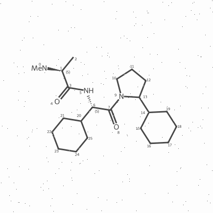 CN[C@@H](C)C(=O)N[C@H](C(=O)N1CCCC1C1CCCCC1)C1CCCCC1